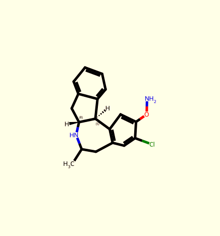 CC1Cc2cc(Cl)c(ON)cc2[C@@H]2c3ccccc3C[C@H]2N1